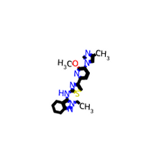 CCn1nc2c(c1Nc1nc(-c3ccc(-n4cnc(C)c4)c(OC)n3)cs1)CCCC2